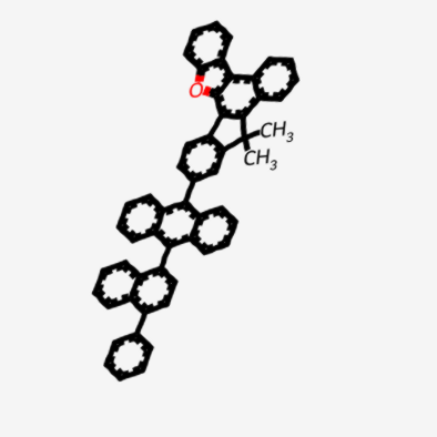 CC1(C)c2cc(-c3c4ccccc4c(-c4ccc(-c5ccccc5)c5ccccc45)c4ccccc34)ccc2-c2c1c1ccccc1c1c2oc2ccccc21